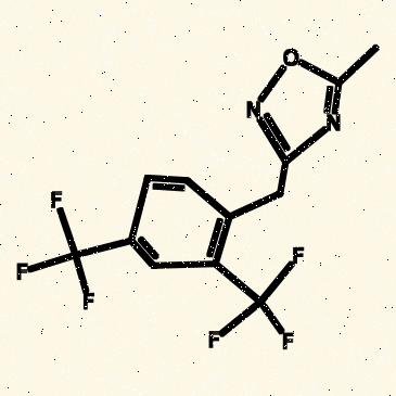 Cc1nc(Cc2ccc(C(F)(F)F)cc2C(F)(F)F)no1